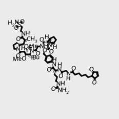 CC[C@H](C)[C@@H]([C@@H](CC(=O)N1CCC[C@H]1[C@H](OC)[C@@H](C)C(=O)NCCS(N)(=O)=O)OC)N(C)C(=O)CNC(=O)[C@@H]1[C@H]2CC[C@H](C2)N1C(=O)OCc1ccc(NC(=O)[C@H](CCCNC(N)=O)NC(=O)CNC(=O)CCCCCC2C(=O)C=CC2=O)cc1